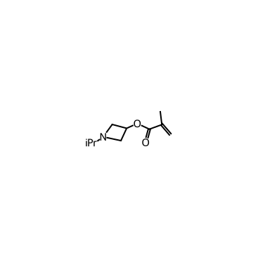 C=C(C)C(=O)OC1CN(C(C)C)C1